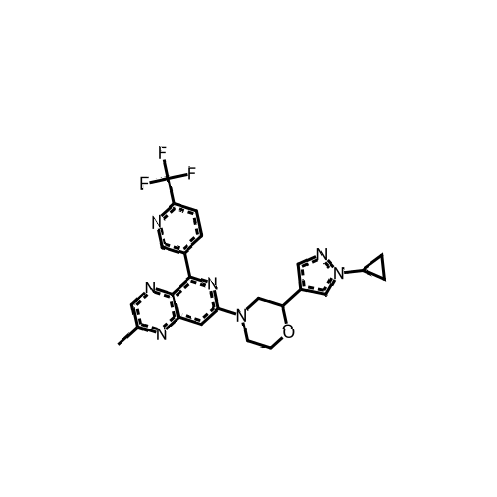 Cc1cnc2c(-c3ccc(C(F)(F)F)nc3)nc(N3CCOC(c4cnn(C5CC5)c4)C3)cc2n1